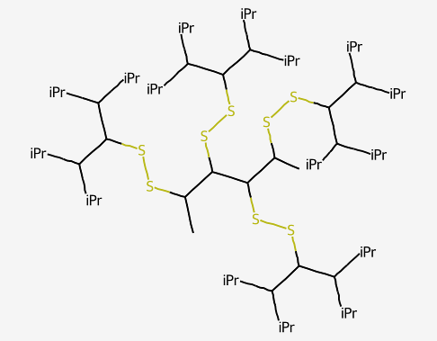 CC(C)C(C(C)C)C(SSC(C)C(SSC(C(C(C)C)C(C)C)C(C(C)C)C(C)C)C(SSC(C(C(C)C)C(C)C)C(C(C)C)C(C)C)C(C)SSC(C(C(C)C)C(C)C)C(C(C)C)C(C)C)C(C(C)C)C(C)C